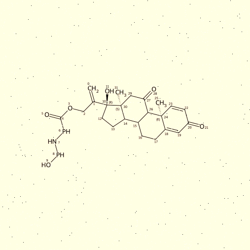 C=C(COC(=O)PNPO)[C@@]1(O)CCC2C3CCC4=CC(=O)C=C[C@]4(C)C3C(=O)C[C@@]21C